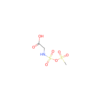 CS(=O)(=O)OS(=O)(=O)NCC(=O)O